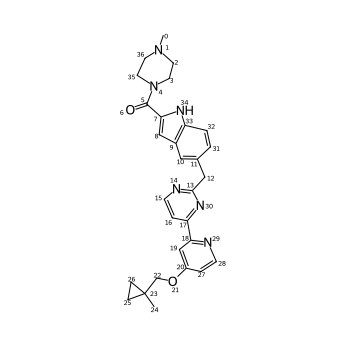 CN1CCN(C(=O)c2cc3cc(Cc4nccc(-c5cc(OCC6(C)CC6)ccn5)n4)ccc3[nH]2)CC1